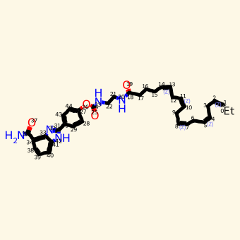 CC/C=C\C/C=C\C/C=C\C/C=C\C/C=C\CCCC(=O)NCCNC(=O)Oc1ccc(-c2nc3c(C(N)=O)cccc3[nH]2)cc1